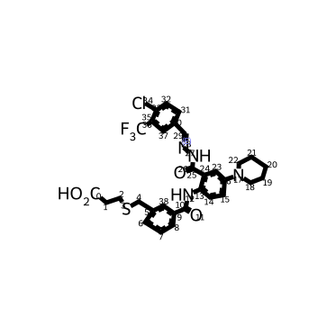 O=C(O)CCSCc1cccc(C(=O)Nc2ccc(N3CCCCC3)cc2C(=O)N/N=C/c2ccc(Cl)c(C(F)(F)F)c2)c1